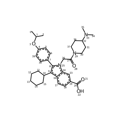 CC(C)Oc1ccc(-c2c(C3CCCCC3)c3ccc(C(=O)O)cc3n2CC(=O)N2CCC(N(C)C)CC2)cc1